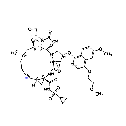 COCCOc1cnc(O[C@@H]2C[C@H]3C(=O)N[C@]4(C(=O)NS(=O)(=O)C5CC5)C[C@H]4/C=C\CC[C@H](C)C[C@@H](C)[C@H](N(C(=O)O)C4COC4)C(=O)N3C2)c2ccc(OC)cc12